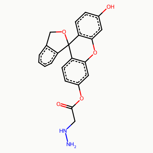 NNCC(=O)Oc1ccc2c(c1)Oc1cc(O)ccc1C21OCc2ccccc21